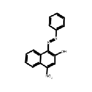 O=[N+]([O-])c1cc(O)c(N=Nc2ccccc2)c2ccccc12